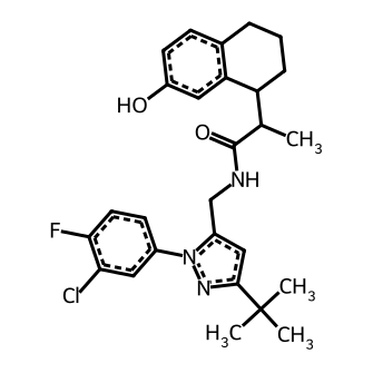 CC(C(=O)NCc1cc(C(C)(C)C)nn1-c1ccc(F)c(Cl)c1)C1CCCc2ccc(O)cc21